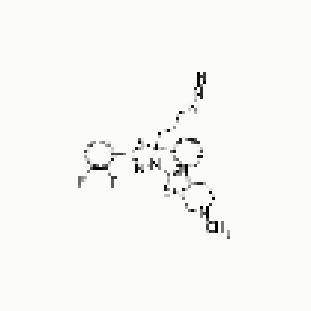 CN1CCc2nc(N3N=C(c4cccc(F)c4F)SC3(CCCN=[N+]=[N-])c3ccccc3)sc2C1